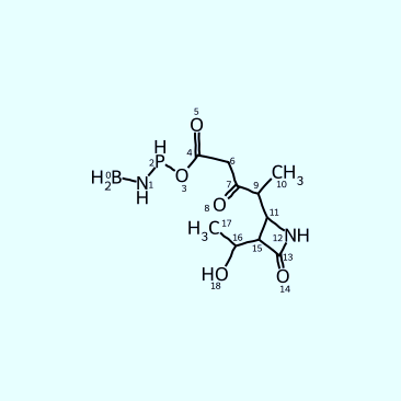 BNPOC(=O)CC(=O)C(C)C1NC(=O)C1C(C)O